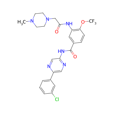 CN1CCN(CC(=O)Nc2cc(C(=O)Nc3cnc(-c4cccc(Cl)c4)cn3)ccc2OC(F)(F)F)CC1